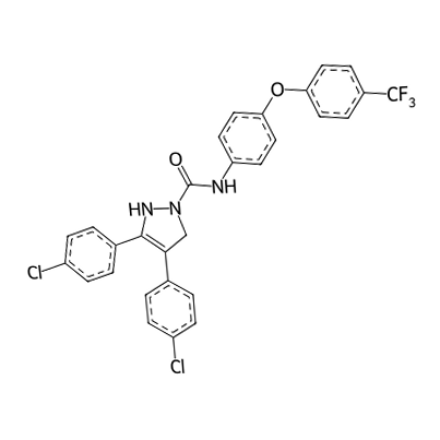 O=C(Nc1ccc(Oc2ccc(C(F)(F)F)cc2)cc1)N1CC(c2ccc(Cl)cc2)=C(c2ccc(Cl)cc2)N1